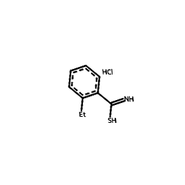 CCc1ccccc1C(=N)S.Cl